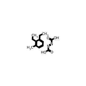 CCc1cccc(C)c1CC.O=C(O)/N=N/C(=O)O